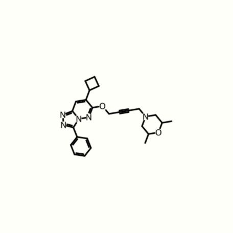 CC1CN(CC#CCOc2nn3c(-c4ccccc4)nnc3cc2C2CCC2)CC(C)O1